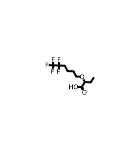 CCC(OCCCCC(F)(F)C(F)(F)F)C(=O)O